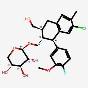 COc1cc([C@@H]2c3cc(Cl)c(C)cc3C[C@H](CO)[C@H]2CO[C@@H]2OC[C@@H](O)[C@H](O)[C@H]2O)ccc1F